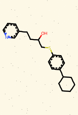 OC(CCc1cccnc1)CSc1ccc(C2CCCCC2)cc1